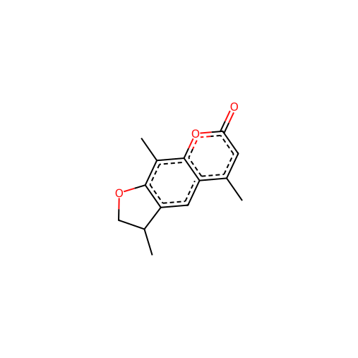 Cc1cc(=O)oc2c(C)c3c(cc12)C(C)CO3